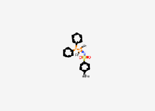 CCCCc1ccc(S(=O)(=O)N=P(C(C)C)(C(C)C)P(c2ccccc2)c2ccccc2)cc1